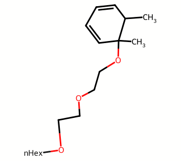 CCCCCCOCCOCCOC1(C)C=CC=CC1C